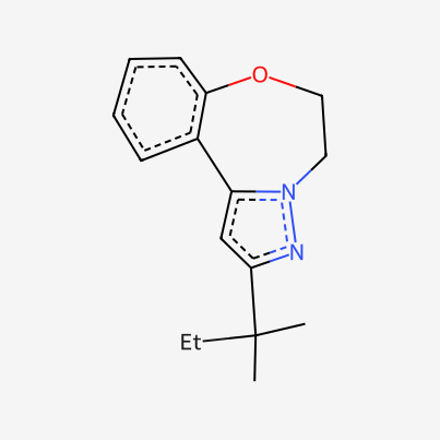 CCC(C)(C)c1cc2n(n1)CCOc1ccccc1-2